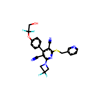 N#Cc1c(SCc2cccnc2)nc(N2CC(F)(F)C2)c(C#N)c1-c1ccc(OC(F)(F)CO)cc1